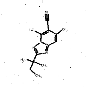 CCC(C)(C)c1nc2cc(C)c(C#N)c(O)n2n1